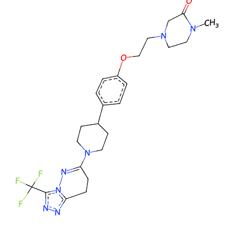 CN1CCN(CCOc2ccc(C3CCN(C4=Nn5c(nnc5C(F)(F)F)CC4)CC3)cc2)CC1=O